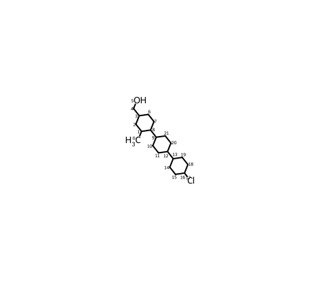 CC1CC(CO)CCC1C1CCC(C2CCC(Cl)CC2)CC1